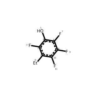 CCc1c(F)c(O)c(F)c(F)c1F